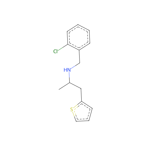 CC(Cc1cccs1)NCc1ccccc1Cl